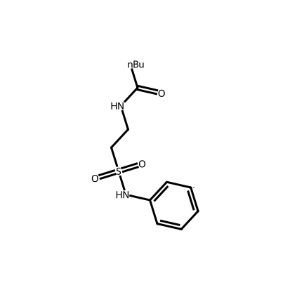 CCCCC(=O)NCCS(=O)(=O)Nc1c[c]ccc1